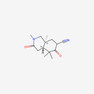 CN1C[C@@]2(C)CC(C#N)C(=O)C(C)(C)[C@@H]2CC1=O